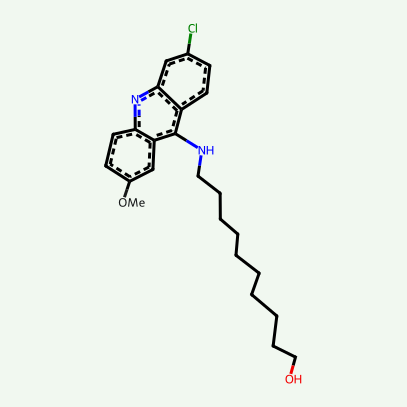 COc1ccc2nc3cc(Cl)ccc3c(NCCCCCCCCCCO)c2c1